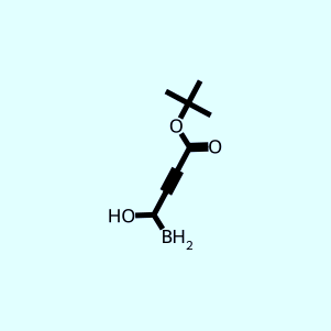 BC(O)C#CC(=O)OC(C)(C)C